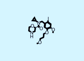 COCCCOc1cc(CN(C(=O)[C@H]2CNCCO2)C2CC2)c(I)cc1OC